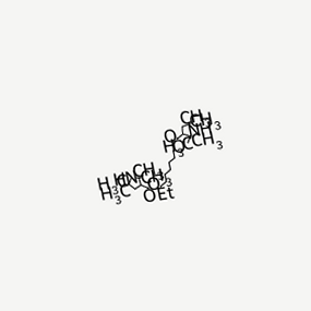 CCC(CCCCCCOC(=O)C1CC(C)(C)NC1(C)C)OC(=O)C1CC(C)(C)NC1(C)C